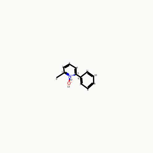 Cc1cccc(-c2ccccc2)[n+]1[O-]